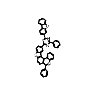 c1ccc(-c2nc(-c3ccc4c(c3)oc3ccccc34)nc(-c3ccc4sc5ccc6c(-c7ccccc7)nc7ccccc7c6c5c4c3)n2)cc1